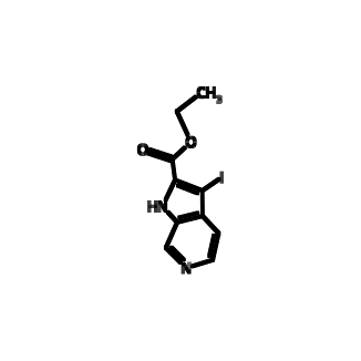 CCOC(=O)c1[nH]c2cnccc2c1I